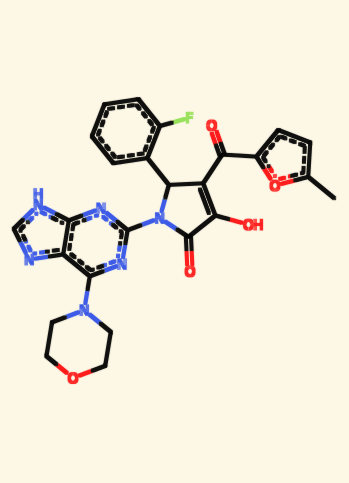 Cc1ccc(C(=O)C2=C(O)C(=O)N(c3nc(N4CCOCC4)c4nc[nH]c4n3)C2c2ccccc2F)o1